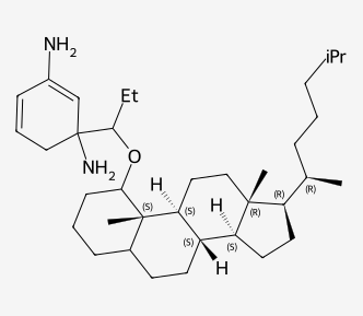 CCC(OC1CCCC2CC[C@@H]3[C@H](CC[C@]4(C)[C@@H]([C@H](C)CCCC(C)C)CC[C@@H]34)[C@]21C)C1(N)C=C(N)C=CC1